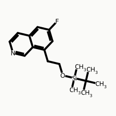 CC(C)(C)[Si](C)(C)OCCc1cc(F)cc2ccncc12